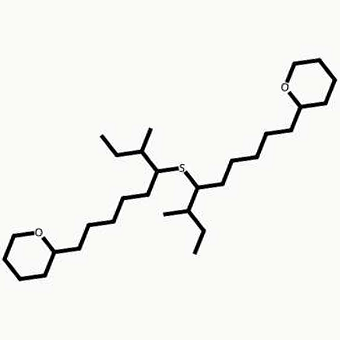 CCC(C)C(CCCCCC1CCCCO1)SC(CCCCCC1CCCCO1)C(C)CC